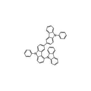 c1ccc(-n2c3ccccc3c3cc(-c4ccc5c(c4)c4c(-n6c7ccccc7c7ccccc76)cccc4n5-c4ccccc4)ccc32)cc1